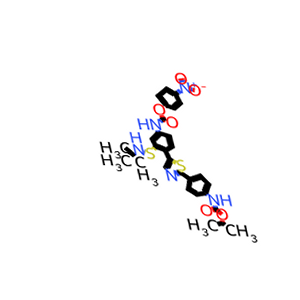 CC(C)OC(=O)Nc1ccc(-c2ncc(-c3ccc(NC(=O)Oc4ccc([N+](=O)[O-])cc4)cc3SNC(C)(C)C)s2)cc1